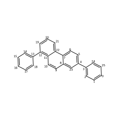 c1ccc(-c2ccc3c(ccc4c(-c5ccccc5)cccc43)c2)cc1